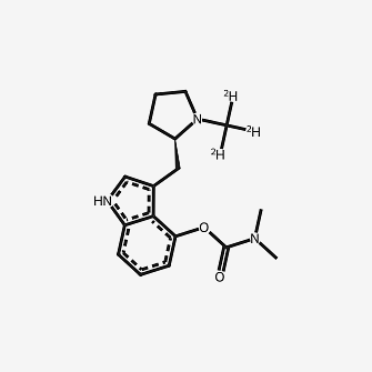 [2H]C([2H])([2H])N1CCC[C@@H]1Cc1c[nH]c2cccc(OC(=O)N(C)C)c12